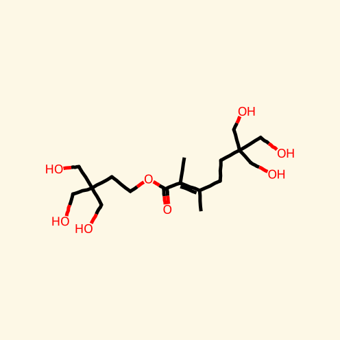 CC(CCC(CO)(CO)CO)=C(C)C(=O)OCCC(CO)(CO)CO